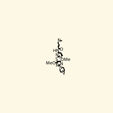 COc1nc(N2CCN(C)CC2)nc(OC)c1Sc1nccc(NC(=O)C=CCN(C)C)n1